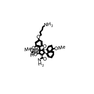 COc1ccc([C@@]23Oc4cc(OCCCCN)cc(OC)c4[C@]2(O)[C@H](O)[C@H](C(N)=O)[C@H]3c2ccccc2)cc1.O=CO